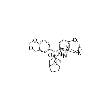 N#Cc1ncn(C(=O)N2C3CCC2CC(=C(c2ccc4c(c2)COCO4)c2ccc4c(c2)COCO4)C3)n1